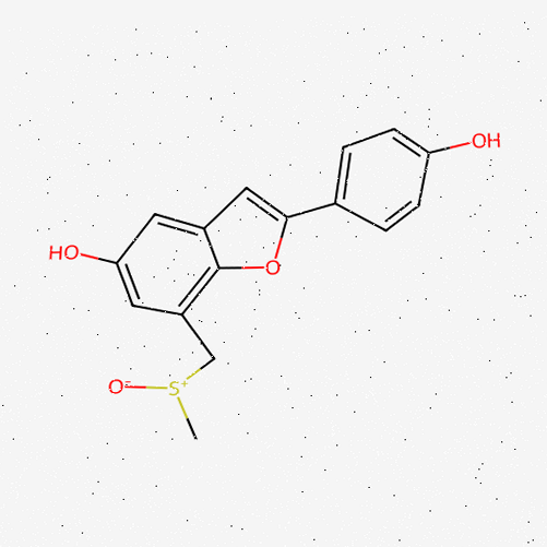 C[S+]([O-])Cc1cc(O)cc2cc(-c3ccc(O)cc3)oc12